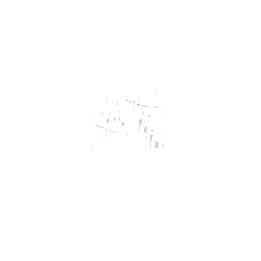 Br.Br.Br.Br.C[N+](C)(C)C.C[N+](C)(C)C